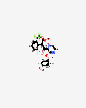 COC(=O)C(=C(O)c1nccnc1OCc1ccc(OC)cc1)c1ccccc1C(F)(F)F